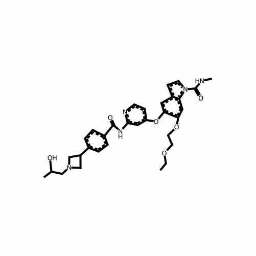 CCOCCOc1cc2c(ccn2C(=O)NC)cc1Oc1ccnc(NC(=O)c2ccc(C3CN(CC(C)O)C3)cc2)c1